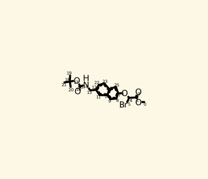 COC(=O)C(Br)Oc1ccc2cc(CNC(=O)OC(C)(C)C)ccc2c1